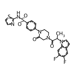 CC(C(=O)N1CCN(c2ccc(S(=O)(=O)Nc3nccs3)cc2)C(=O)C1)n1ccc2cc(F)c(F)cc21